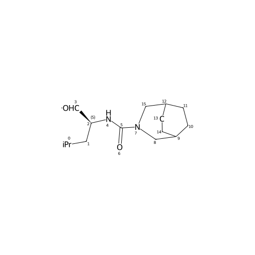 CC(C)C[C@@H]([C]=O)NC(=O)N1CC2CCC(CC2)C1